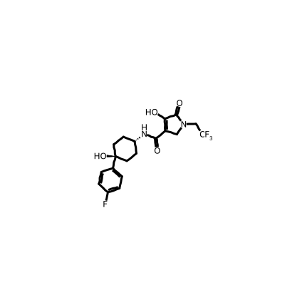 O=C(N[C@H]1CC[C@@](O)(c2ccc(F)cc2)CC1)C1=C(O)C(=O)N(CC(F)(F)F)C1